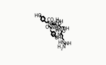 N=C(N)NCCC[C@@H](N)C(=O)N[C@H](CO)C(=O)N[C@H](CO)C(=O)N[C@H](Cc1ccc(O)cc1)C(=O)N[C@H](Cc1ccc(O)cc1)C(=O)O